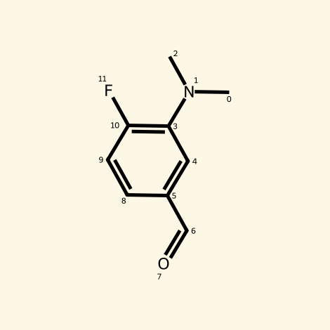 CN(C)c1cc(C=O)ccc1F